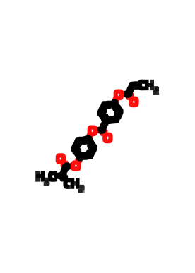 C=CC(=O)Oc1ccc(C(=O)Oc2ccc(OC(=O)C(=C)C)cc2)cc1